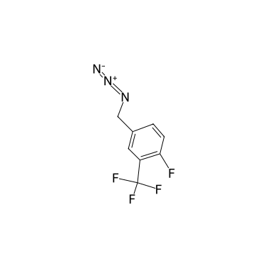 [N-]=[N+]=NCc1ccc(F)c(C(F)(F)F)c1